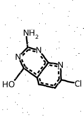 Nc1nc(O)c2ccc(Cl)nc2n1